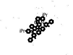 Cc1ccc(N(c2ccc(C(C)C)cc2)c2cc3c(c4ccccc24)-c2c(cc(N(c4ccc(C(C)C)cc4)c4ccc(C)c(-c5ccccc5)c4)c4c2oc2ccccc24)C3(c2ccccc2)c2ccccc2)cc1-c1ccccc1